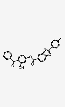 Cc1ccc(-c2nc3cc(C(=O)Oc4ccc(C(=O)c5ccccc5)c(O)c4)ccc3o2)cc1